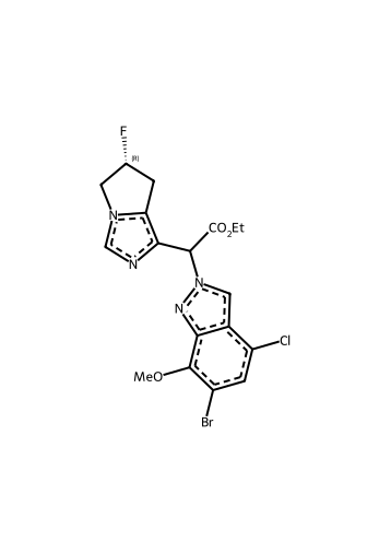 CCOC(=O)C(c1ncn2c1C[C@@H](F)C2)n1cc2c(Cl)cc(Br)c(OC)c2n1